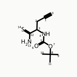 C#CCC(NC(=O)OC(C)(C)C)C(N)=S